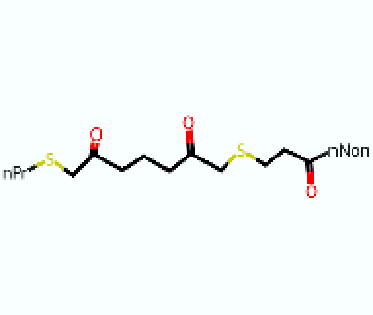 CCCCCCCCCC(=O)CCSCC(=O)CCCC(=O)CSCCC